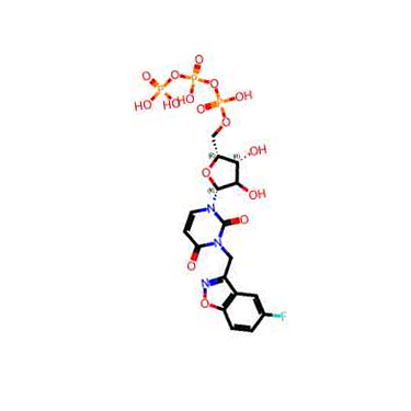 O=c1ccn([C@@H]2O[C@H](COP(=O)(O)OP(=O)(O)OP(=O)(O)O)[C@H](O)C2O)c(=O)n1Cc1noc2ccc(F)cc12